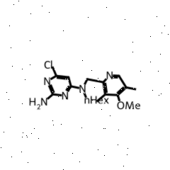 CCCCCCN(Cc1ncc(C)c(OC)c1C)c1cc(Cl)nc(N)n1